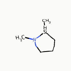 CN1CCC[SiH]1C